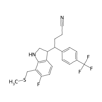 CSCc1c(F)ccc2c1NCC2C(CCC#N)c1ccc(C(F)(F)F)cc1